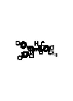 Cc1cc(S(=O)(=O)NCC2=NN(c3ccc(Cl)cc3Cl)[C@@H](c3ccc(Cl)cc3)C2)c(C)cc1Cl